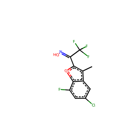 Cc1c(/C(=N\O)C(F)(F)F)oc2c(F)cc(Cl)cc12